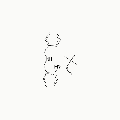 CC(C)(C)C(=O)Nc1ccncc1CNCc1ccccc1